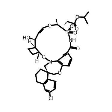 CC(C)OC(=O)C[C@H]1[C@H](C)C/C=C\[C@H](O)[C@@H]2CC[C@H]2CN2C[C@@]3(CCCc4cc(Cl)ccc43)COc3ccc(cc32)C(=O)NS1(=O)=O